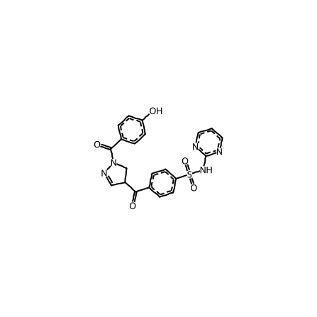 O=C(c1ccc(S(=O)(=O)Nc2ncccn2)cc1)C1C=NN(C(=O)c2ccc(O)cc2)C1